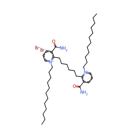 CCCCCCCCCCCC[n+]1cccc(C(N)=O)c1CCCCCCc1c(C(N)=O)ccc[n+]1CCCCCCCCCCCC.[Br-].[Br-]